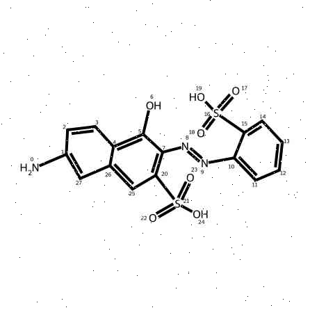 Nc1ccc2c(O)c(/N=N/c3ccccc3S(=O)(=O)O)c(S(=O)(=O)O)cc2c1